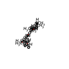 CNC(C)C(=O)N[C@H]1CN(C(=O)c2cnc(N3CCC(COc4cc5ncnc(Nc6n[nH]c(C)c6C)c5cc4S(=O)(=O)C(C)(C)C)CC3)cn2)CC[C@H]2CC[C@@H](C(=O)NC(c3ccccc3)c3ccccc3)N2C1=O